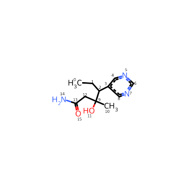 CCC(c1cncnc1)C(C)(O)CC(N)=O